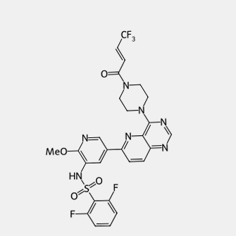 COc1ncc(-c2ccc3ncnc(N4CCN(C(=O)/C=C/C(F)(F)F)CC4)c3n2)cc1NS(=O)(=O)c1c(F)cccc1F